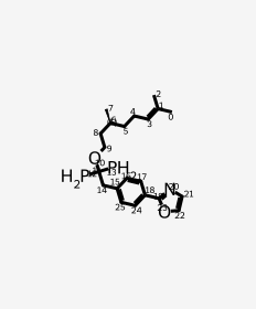 CC(C)=CCC[C@H](C)CCOC(P)(P)Cc1ccc(-c2ncco2)cc1